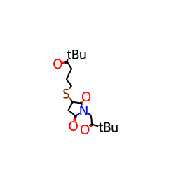 CC(C)(C)C(=O)CCCSC1CC(=O)N(CC(=O)C(C)(C)C)C1=O